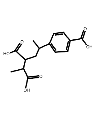 CC(CC(C(=O)O)C(C)C(=O)O)c1ccc(C(=O)O)cc1